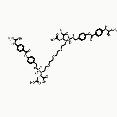 N=C(N)Nc1ccc(C(=O)Oc2ccc(CNS(=O)(=O)N(CCOCCOCCOCCN([C@@H](CC(=O)O)C(=O)O)S(=O)(=O)NCc3ccc(OC(=O)c4ccc(NC(=N)N)cc4)cc3)[C@@H](CC(=O)O)C(=O)O)cc2)cc1